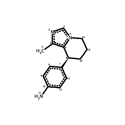 Cc1ncn2c1[C@H](c1ccc(N)cc1)CCC2